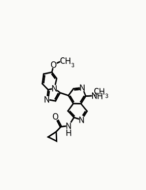 CNc1ncc(-c2cnc3ccc(OC)cn23)c2cc(NC(=O)C3CC3)ncc12